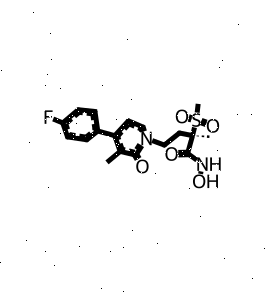 Cc1c(-c2ccc(F)cc2)ccn(CC[C@](C)(C(=O)NO)S(C)(=O)=O)c1=O